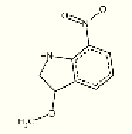 COC1CNc2c1cccc2[N+](=O)[O-]